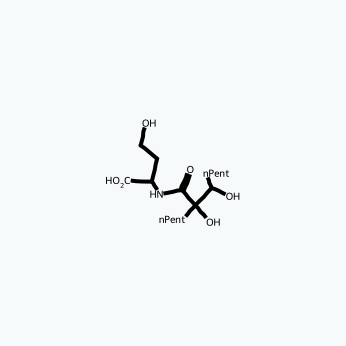 CCCCCC(O)C(O)(CCCCC)C(=O)NC(CCO)C(=O)O